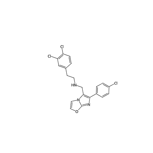 Clc1ccc(-c2nc3occn3c2CNCCc2ccc(Cl)c(Cl)c2)cc1